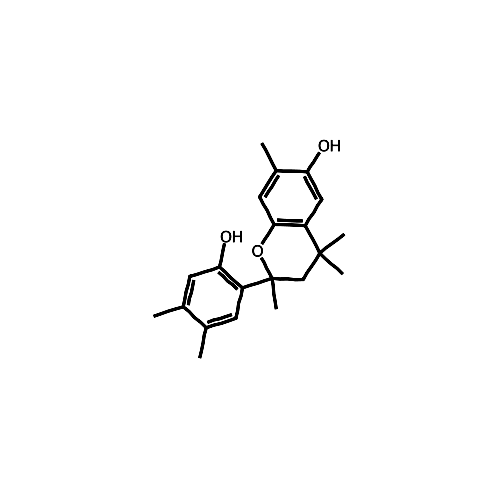 Cc1cc(O)c(C2(C)CC(C)(C)c3cc(O)c(C)cc3O2)cc1C